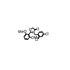 COc1cccc(OC)c1C1OCC(=O)N1Cc1ccc(Cl)cc1Cl